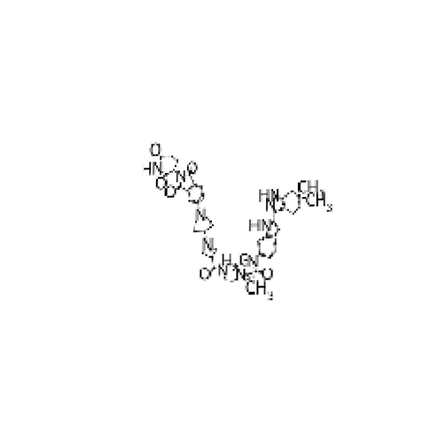 C[C@@H](C(=O)N(C)c1ccc2cc(-c3n[nH]c4c3CCC(C)(C)C4)[nH]c2c1)N1CCN(C(=O)C2CN(C3CCN(c4ccc5c(c4)C(=O)N(C4CCC(=O)NC4=O)C5=O)CC3)C2)CC1